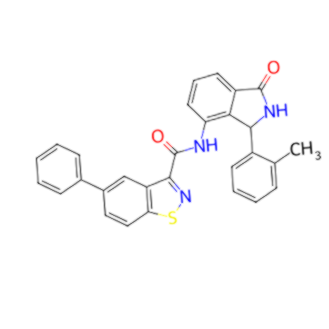 Cc1ccccc1C1NC(=O)c2cccc(NC(=O)c3nsc4ccc(-c5ccccc5)cc34)c21